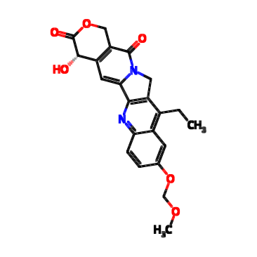 CCc1c2c(nc3ccc(OCOC)cc13)-c1cc3c(c(=O)n1C2)COC(=O)[C@H]3O